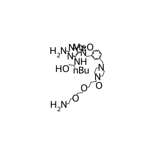 CCCCC(CO)Nc1nc(N)nc2ccn(Cc3cc(CN4CCN(C(=O)CCOCCOCCN)CC4)ccc3OC)c12